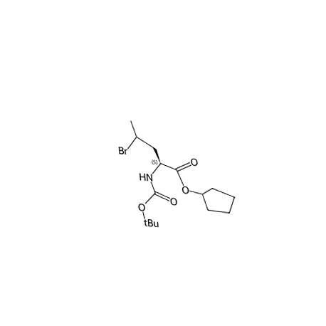 CC(Br)C[C@H](NC(=O)OC(C)(C)C)C(=O)OC1CCCC1